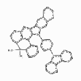 CC1(C)c2ccccc2-c2c3c1cccc3cc1c3cc4ccccc4cc3n(-c3ccc(-n4c5ccccc5c5ccccc54)cc3)c21